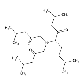 CC(C)CCC(C(=O)CC(C)C)N(CC(=O)CC(C)C)CC(=O)CC(C)C